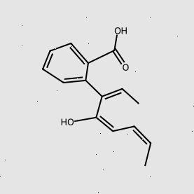 C\C=C/C=C(O)\C(=C/C)c1ccccc1C(=O)O